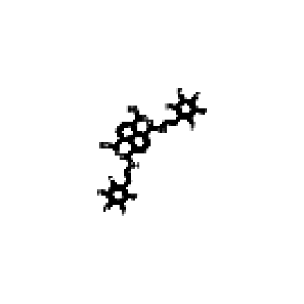 O=C(O)c1ccc(C(=O)O)c2c(C(=O)NCCc3c(F)c(F)c(F)c(F)c3F)ccc(C(=O)NCCc3c(F)c(F)c(F)c(F)c3F)c12